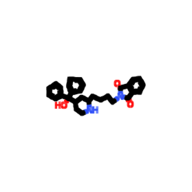 O=C1c2ccccc2C(=O)N1CCCCC1CC(C(O)(c2ccccc2)c2ccccc2)CCN1